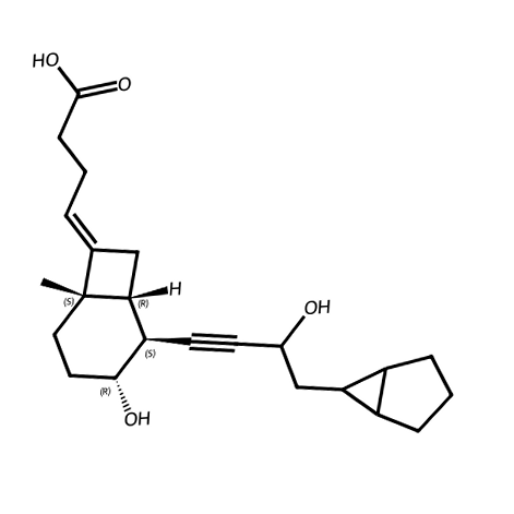 C[C@]12CC[C@@H](O)[C@H](C#CC(O)CC3C4CCCC43)[C@H]1CC2=CCCC(=O)O